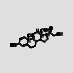 C[C@]12C=CC(O)C=C1CCC1C2=CC[C@@]2(C)C1CC[C@]2(O)C(=O)CO